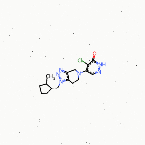 C[C@@H]1CCC[C@H]1Cn1nnc2c1CCN(c1cn[nH]c(=O)c1Cl)C2